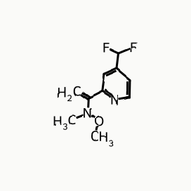 C=C(c1cc(C(F)F)ccn1)N(C)OC